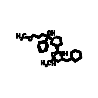 CNC[C@H](CC1CCCCC1)NC(=O)N1CCC[C@@H]([C@@](O)(CCCOC)c2ccccc2)C1